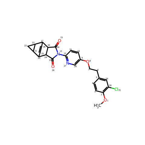 COc1ccc(CCOc2ccc(N3C(=O)C4C5C=CC(C6CC56)C4C3=O)nc2)cc1Cl